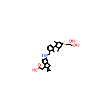 Cc1cc(OC[C@H](O)CO)cc(C)c1-c1cccc(CNc2ccc3c(c2)CC2(CC2)C3CC(=O)O)c1C